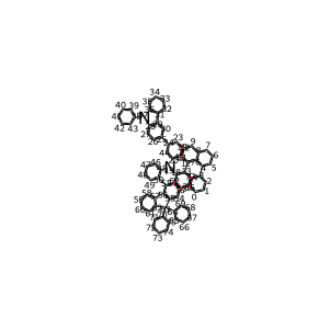 c1ccc(-c2cccc3cccc(-c4ccccc4N(c4cccc(-c5ccc6c(c5)c5ccccc5n6-c5ccccc5)c4)c4ccccc4-c4cccc5c4-c4ccccc4C5(c4ccccc4)c4ccccc4)c23)cc1